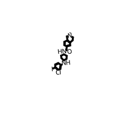 CN1CCc2cc(C(=O)N[C@H]3CC[C@H](Nc4ccc(I)c(Cl)c4)CC3)ccc2C1